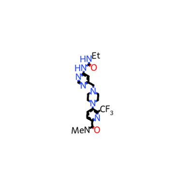 CCNC(=O)Nc1cc(CN2CCN(c3ccc(C(=O)NC)nc3C(F)(F)F)CC2)ncn1